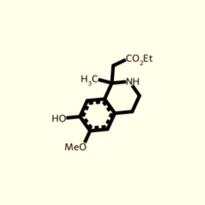 CCOC(=O)CC1(C)NCCc2cc(OC)c(O)cc21